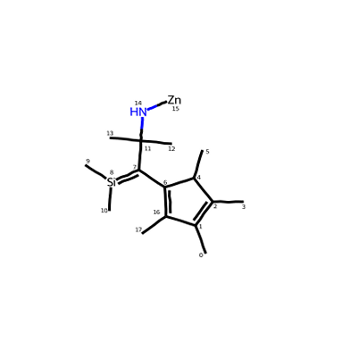 CC1=C(C)C(C)C(C(=[Si](C)C)C(C)(C)[NH][Zn])=C1C